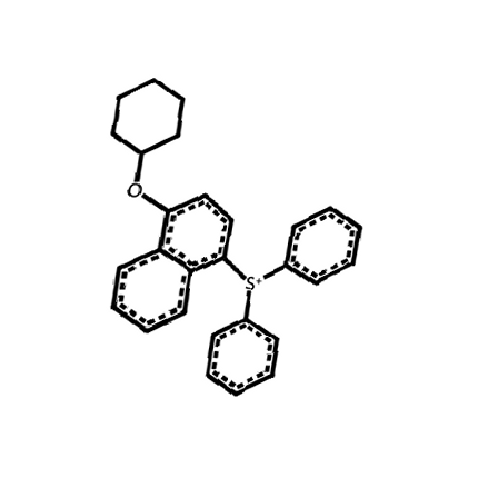 c1ccc([S+](c2ccccc2)c2ccc(OC3CCCCC3)c3ccccc23)cc1